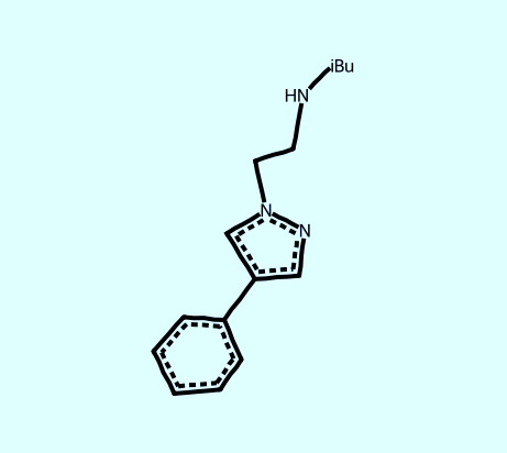 CCC(C)NCCn1cc(-c2ccccc2)cn1